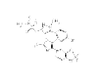 Cc1nc(-c2ccc3c(c2)OC(F)(F)O3)c(-c2cc(Br)ccc2-c2cc(CS(=O)(=O)N(C)C)nn2C)o1